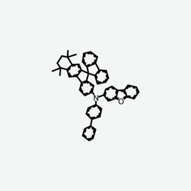 CC1(C)CCC(C)(C)c2cc3c(cc21)-c1ccc(N(c2ccc(-c4ccccc4)cc2)c2ccc4c(c2)oc2ccccc24)cc1C31c2ccccc2-c2ccccc21